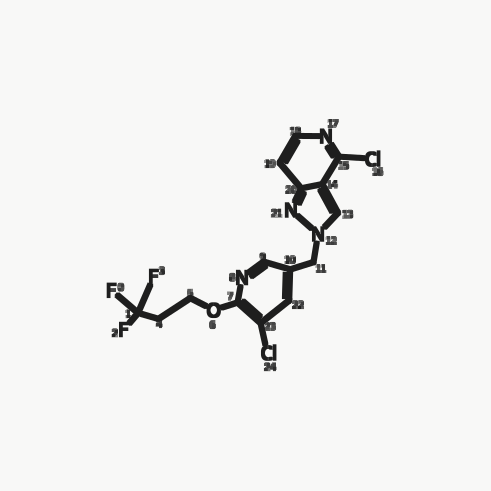 FC(F)(F)CCOc1ncc(Cn2cc3c(Cl)nccc3n2)cc1Cl